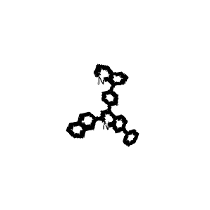 c1ccc(-c2ccc3c(-c4ccc(-c5cccc6cccnc56)cc4)cc(-c4ccc5ccccc5c4)nc3c2)cc1